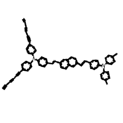 C#CC#CC#Cc1ccc(N(c2ccc(C#CC#CC#C)cc2)c2ccc(/C=C/c3ccc4cc(/C=C/c5ccc(N(c6ccc(C)cc6)c6ccc(C)cc6)cc5)ccc4c3)cc2)cc1